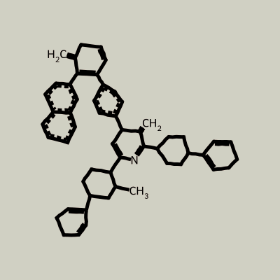 C=C1CC=CC(c2ccc(C3C=C(C4CCC(C5=CCCC=C5)CC4C)N=C(C4CCC(C5=CCCC=C5)CC4)C3=C)cc2)=C1c1ccc2ccccc2c1